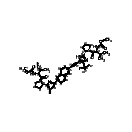 COC(=O)N[C@H](C(=O)N1CCC[C@H]1c1nc(-c2ccc3cc(C#Cc4[nH]c([C@@H]5CCCN5C(=O)[C@@H](NC(=O)OC)C(C)C)nc4C(F)(F)F)ccc3c2)c[nH]1)C(C)C